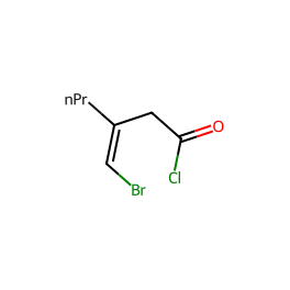 CCCC(=CBr)CC(=O)Cl